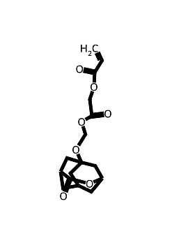 C=CC(=O)OCC(=O)OCOC12CC3CC(C1)OC(=O)C(C3)C2